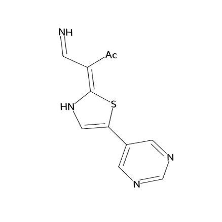 CC(=O)/C(C=N)=C1/NC=C(c2cncnc2)S1